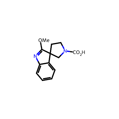 COC1=Nc2ccccc2C12CCN(C(=O)O)C2